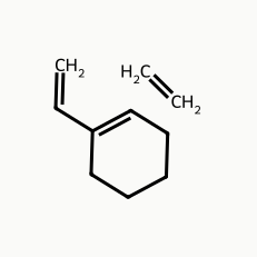 C=C.C=CC1=CCCCC1